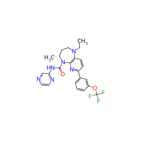 CCN1CC[C@@H](C)N(C(=O)Nc2cnccn2)c2nc(-c3cccc(OC(F)(F)F)c3)ccc21